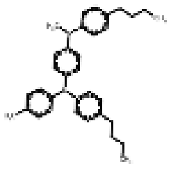 CCCCc1ccc(N(C)c2ccc(N(c3ccc(C)cc3)c3ccc(CCCC)cc3)cc2)cc1